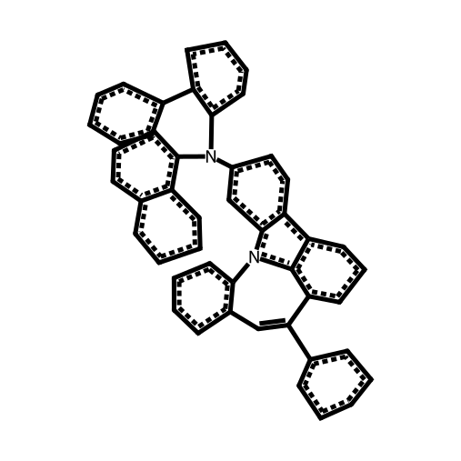 C1=C(c2ccccc2)c2cccc3c4ccc(N(c5ccccc5-c5ccccc5)c5cccc6ccccc56)cc4n(c23)-c2ccccc21